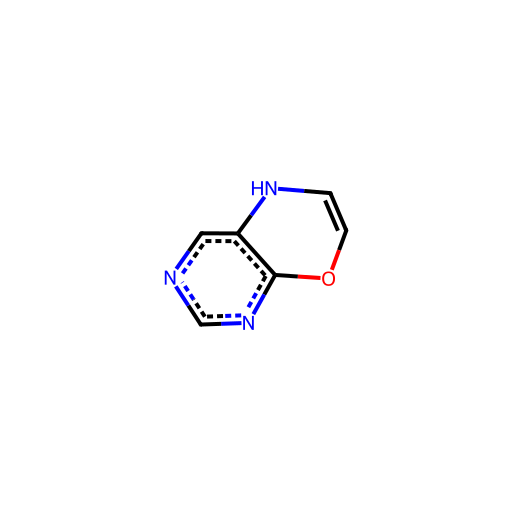 C1=COc2ncncc2N1